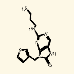 NCCCNc1ncc2[nH]c(=O)n(Cc3ccsc3)c2n1